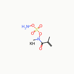 C=C(C)C(=O)N(C)OS(=O)(=O)ON.[KH]